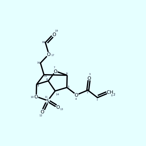 C=CC(=O)OC1C2OC3C(OS(=O)(=O)C13)C2COC=O